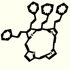 C1=CC2=NC1=CC1=NC(=C(C=Cc3ccccc3)C3=NC(=CC4=NC(=C2)C=C4)C=C3C=Cc2ccccc2)C(C=Cc2ccccc2)=C1C=Cc1ccccc1